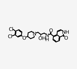 O=C(NC[C@@H](O)CN1CCC(Oc2ccc(Cl)c(Cl)c2)CC1)c1cccc2c(=O)[nH]ccc12